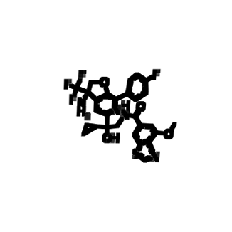 COc1cc(C(=O)NCC(O)(c2cc3c(c(-c4ccc(F)cc4)n2)OC[C@@]3(N)C(F)(F)F)C2CC2)cc2scnc12